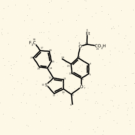 CCC(Oc1ccc(OC(C)c2csc(-c3ccc(C(F)(F)F)cc3)c2)cc1C)C(=O)O